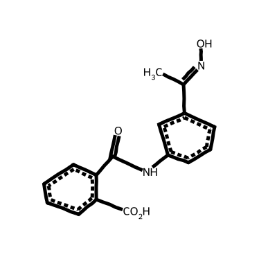 C/C(=N\O)c1cccc(NC(=O)c2ccccc2C(=O)O)c1